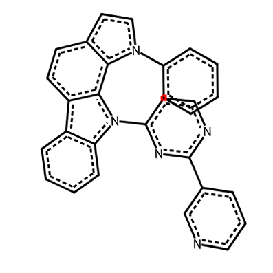 c1ccc(-n2ccc3ccc4c5ccccc5n(-c5ccnc(-c6cccnc6)n5)c4c32)cc1